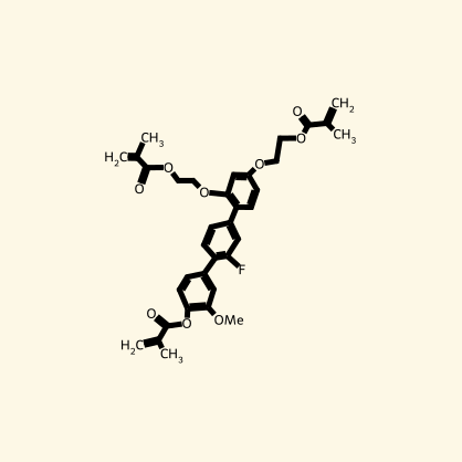 C=C(C)C(=O)OCCOc1ccc(-c2ccc(-c3ccc(OC(=O)C(=C)C)c(OC)c3)c(F)c2)c(OCCOC(=O)C(=C)C)c1